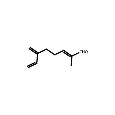 C=CC(=C)CC/C=C(\C)C=O